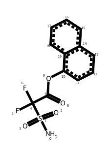 NS(=O)(=O)C(F)(F)C(=O)Oc1cccc2ccccc12